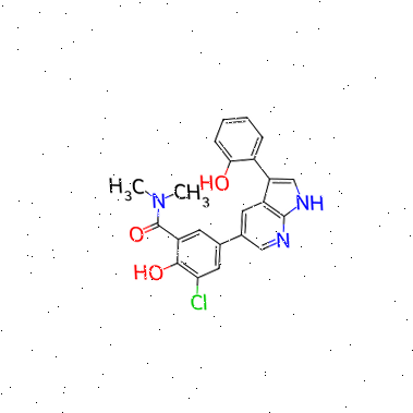 CN(C)C(=O)c1cc(-c2cnc3[nH]cc(-c4ccccc4O)c3c2)cc(Cl)c1O